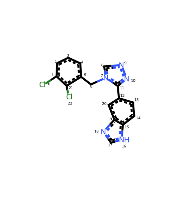 Clc1cccc(Cn2cnnc2-c2ccc3[nH]cnc3c2)c1Cl